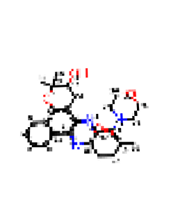 C=Cc1nc2c3c(c4ccccc4c2nc1/C=C\C(C)C(=O)N1CCOCC1)OC(C)(C)C(O)C3